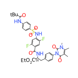 CCOC(=O)[C@H](Cc1ccc(-n2c(=O)c(C)c(C)n(C)c2=O)cc1)NC(=O)c1cc(F)c(NS(=O)(=O)c2ccc(NC(=O)C(C)(C)C)cc2)cc1F